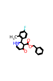 Cc1cc(F)ccc1C1NC=CC(=O)C1C(=O)OCc1ccccc1